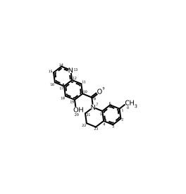 Cc1ccc2c(c1)N(C(=O)c1cc3ncccc3cc1O)CCC2